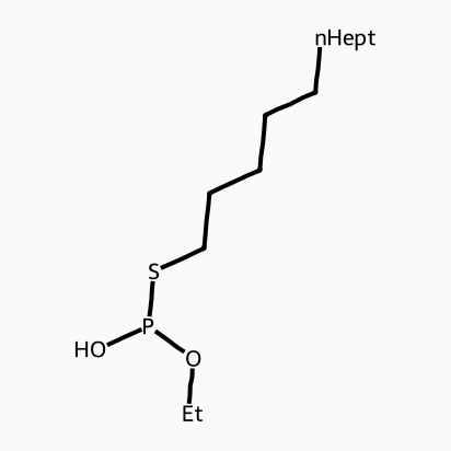 CCCCCCCCCCCCSP(O)OCC